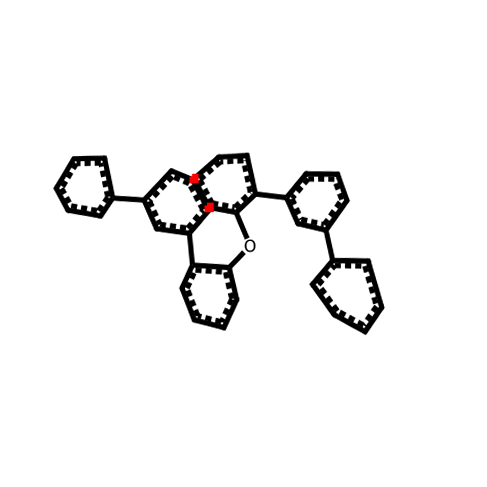 c1ccc(-c2cccc(-c3ccccc3Oc3ccccc3-c3cccc(-c4ccccc4)c3)c2)cc1